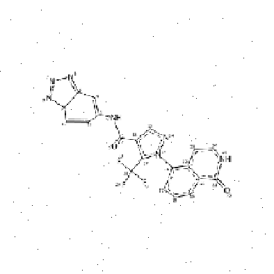 O=C(NC1=CC2=NN=NC2C=C1)c1cnn(-c2cccc3c(=O)[nH]ccc23)c1C(F)(F)F